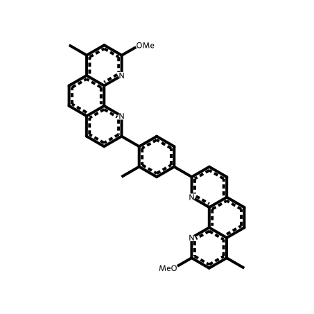 COc1cc(C)c2ccc3ccc(-c4ccc(-c5ccc6ccc7c(C)cc(OC)nc7c6n5)c(C)c4)nc3c2n1